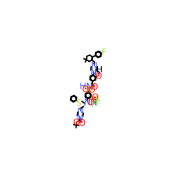 CC1(C)CCC(c2ccc(F)cc2)=C(CN2CCN3c4ccc(C(=O)NS(=O)(=O)c5ccc(N[C@H](CCN6CCN(C(=O)OC(C)(C)C)CC6)CSc6ccccc6)c(S(=O)(=O)C(F)(F)F)c5)cc4OC[C@@H]3C2)C1